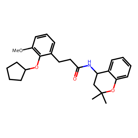 COc1cccc(CCC(=O)NC2CC(C)(C)Oc3ccccc32)c1OC1CCCC1